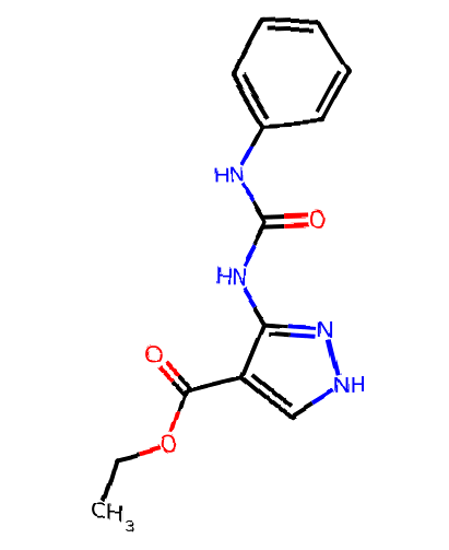 CCOC(=O)c1c[nH]nc1NC(=O)Nc1ccccc1